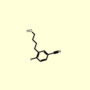 N#Cc1ccc(I)c(CCCCO)c1